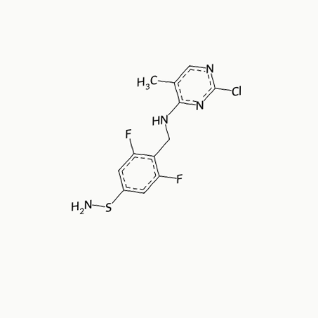 Cc1cnc(Cl)nc1NCc1c(F)cc(SN)cc1F